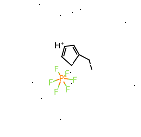 CCC1=CC=CC1.F[P-](F)(F)(F)(F)F.[H+]